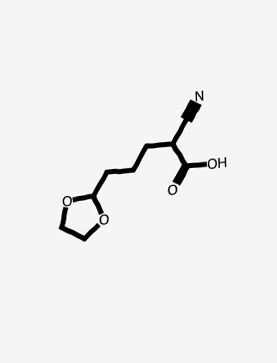 N#CC(CCCC1OCCO1)C(=O)O